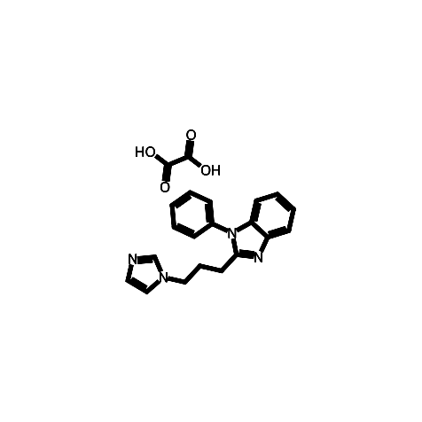 O=C(O)C(=O)O.c1ccc(-n2c(CCCn3ccnc3)nc3ccccc32)cc1